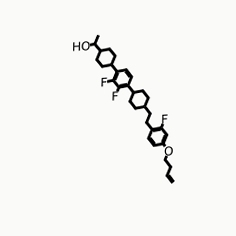 C=CCCOc1ccc(CCC2CCC(c3ccc(C4CCC(C(C)O)CC4)c(F)c3F)CC2)c(F)c1